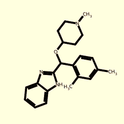 Cc1ccc(C(OC2CCN(C)CC2)c2nc3ccccc3[nH]2)c(C)c1